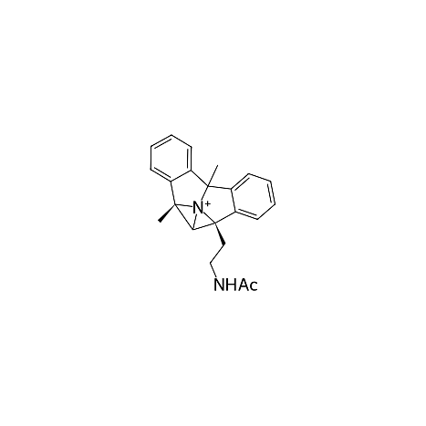 CC(=O)NCC[C@@]12c3ccccc3C3(C)c4ccccc4[C@@]4(C)C1[N+]342